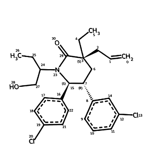 C=CC[C@@]1(CC)C[C@H](c2cccc(Cl)c2)[C@@H](c2ccc(Cl)cc2)N(C(CC)CO)C1=O